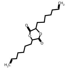 C=CCCCCCC1OC(=O)C(CCCCCC=C)OC1=O